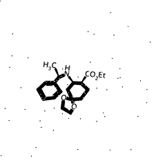 CCOC(=O)[C@H]1CCC2(C[C@H]1N[C@H](C)c1ccccc1)OCCO2